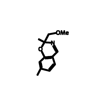 COCC1(C)N=Cc2ccc(C)cc2O1